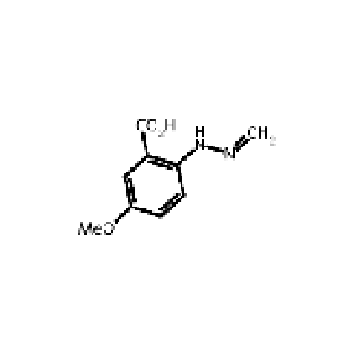 C=NNc1ccc(OC)cc1C(=O)O